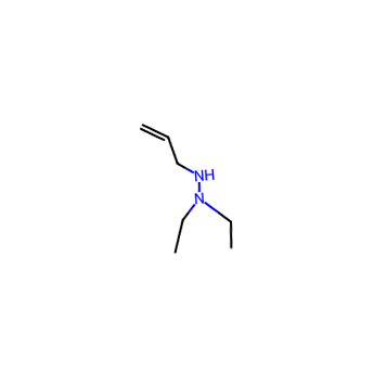 C=CCNN(CC)CC